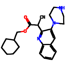 N#CC(C(=O)OCC1CCCCC1)c1nc2ccccc2cc1N1CCNCC1